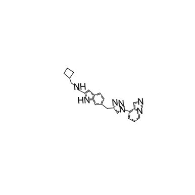 c1cc(-n2cc(Cc3ccc4cc(CNCC5CCC5)[nH]c4c3)nn2)c2cncn2c1